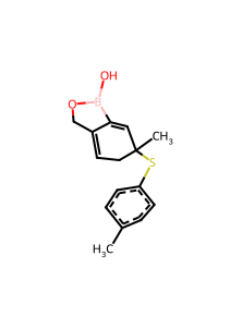 Cc1ccc(SC2(C)C=C3B(O)OCC3=CC2)cc1